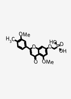 COc1cc(-c2cc(=O)c3c(OC)cc(OCP(=O)(O)O)cc3o2)ccc1C